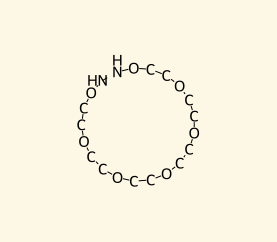 C1COCCOCCONNOCCOCCOCCO1